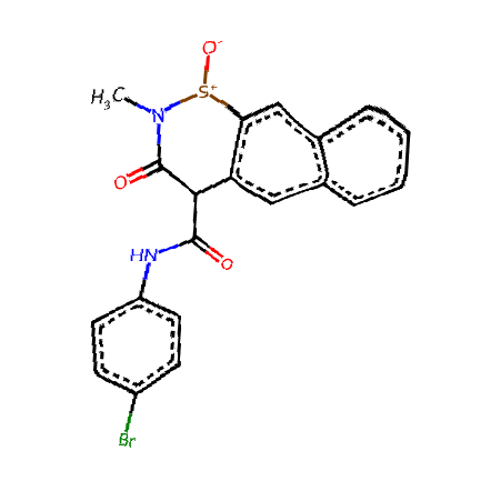 CN1C(=O)C(C(=O)Nc2ccc(Br)cc2)c2cc3ccccc3cc2[S+]1[O-]